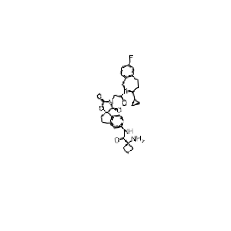 NC1(C(=O)Nc2ccc3c(c2)CC[C@]32OC(=O)N(CC(=O)N3Cc4ccc(F)cc4CCC3C3CC3)C2=O)CCC1